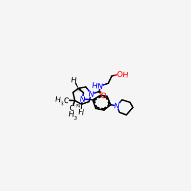 CC1(C)C[C@@H]2CN(C(=O)NCCO)C[C@H]1N(c1ccc(N3CCCCC3)cc1)C2